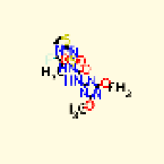 CCC(F)n1ccs/c1=N/S(=O)(=O)NC(=O)Nc1nc(OC)nc(OC)n1